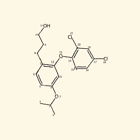 CC(C)Oc1ccc(CCCO)c(Oc2ncc(Cl)cc2Cl)c1